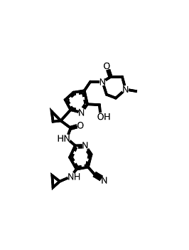 CN1CCN(Cc2ccc(C3(C(=O)Nc4cc(NC5CC5)c(C#N)cn4)CC3)nc2CO)C(=O)C1